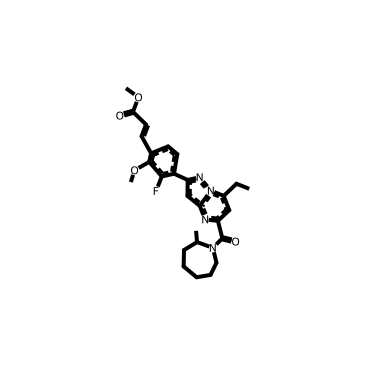 CCc1cc(C(=O)N2CCCCCC2C)nc2cc(-c3ccc(/C=C/C(=O)OC)c(OC)c3F)nn12